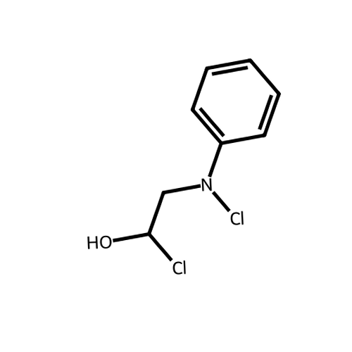 OC(Cl)CN(Cl)c1ccccc1